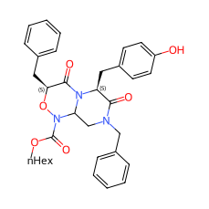 CCCCCCOC(=O)N1O[C@@H](Cc2ccccc2)C(=O)N2C1CN(Cc1ccccc1)C(=O)[C@@H]2Cc1ccc(O)cc1